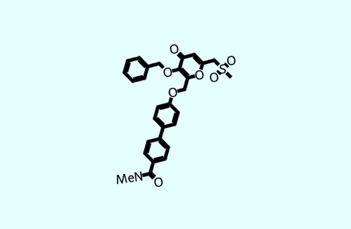 CNC(=O)c1ccc(-c2ccc(OCc3oc(CS(C)(=O)=O)cc(=O)c3OCc3ccccc3)cc2)cc1